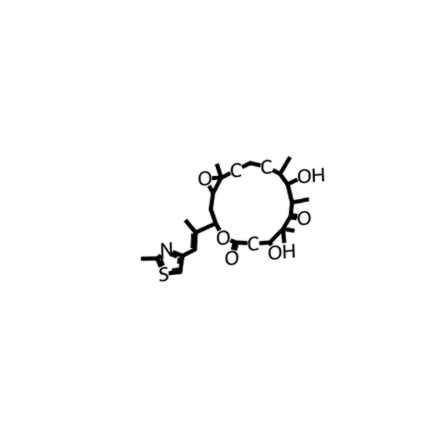 CC(=Cc1csc(C)n1)C1CC2OC2(C)CCCC(C)C(O)C(C)C(=O)C(C)(C)C(O)CC(=O)O1